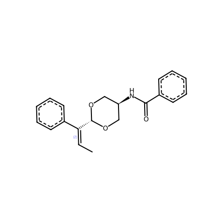 C/C=C(/c1ccccc1)[C@H]1OC[C@H](NC(=O)c2ccccc2)CO1